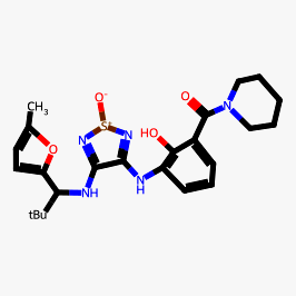 Cc1ccc(C(Nc2n[s+]([O-])nc2Nc2cccc(C(=O)N3CCCCC3)c2O)C(C)(C)C)o1